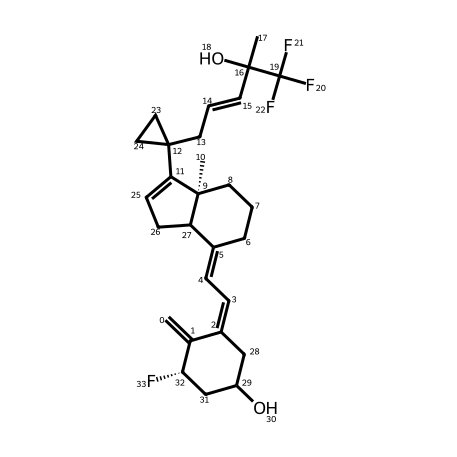 C=C1/C(=C\C=C2/CCC[C@]3(C)C(C4(C/C=C/C(C)(O)C(F)(F)F)CC4)=CCC23)CC(O)C[C@@H]1F